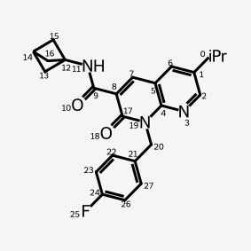 CC(C)c1cnc2c(c1)cc(C(=O)NC13CC(C1)C3)c(=O)n2Cc1ccc(F)cc1